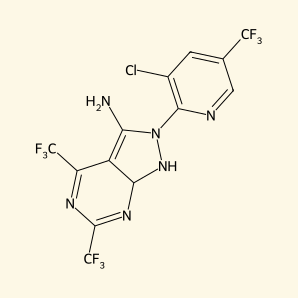 NC1=C2C(C(F)(F)F)=NC(C(F)(F)F)=NC2NN1c1ncc(C(F)(F)F)cc1Cl